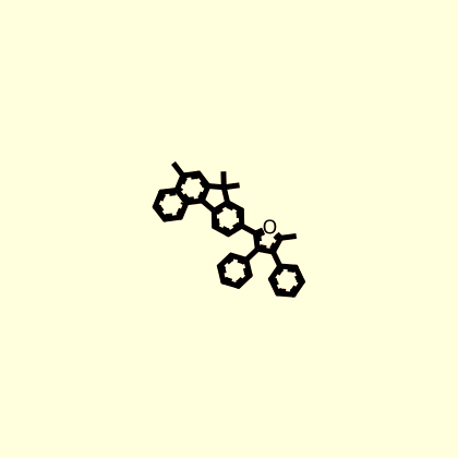 Cc1oc(-c2ccc3c(c2)C(C)(C)c2cc(C)c4ccccc4c2-3)c(-c2ccccc2)c1-c1ccccc1